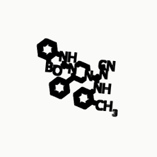 Cc1ccccc1N/C(=N/C#N)N1CCN(C(=O)Nc2ccccc2Br)C(c2ccccc2)C1